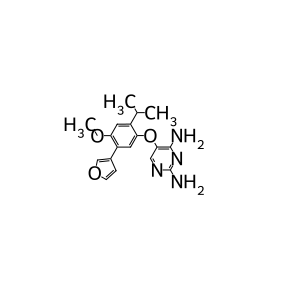 COc1cc(C(C)C)c(Oc2cnc(N)nc2N)cc1-c1ccoc1